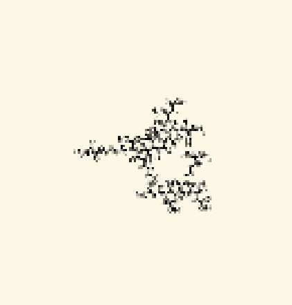 N=C(N)NCCC[C@H](NC(=O)[C@@H](N)CC(=O)O)C(=O)N[C@@H](CC(=O)O)C(=O)N[C@@H](CC(=O)O)C(=O)NCCCCC(NC(=O)[C@H](CC(=O)O)NC(=O)[C@H](CC(=O)O)NC(=O)[C@H](CCCNC(=N)N)NC(=O)[C@@H](N)CC(=O)O)C(=O)N[C@H](CSSCCOC(=O)NN)C(=O)O